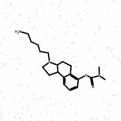 CN(C)C(=O)Oc1cccc2c1CCC1C2CCN1CCCCCN